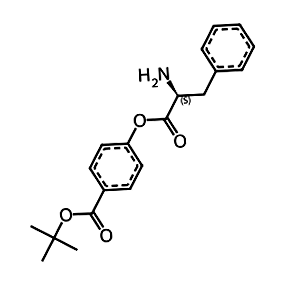 CC(C)(C)OC(=O)c1ccc(OC(=O)[C@@H](N)Cc2ccccc2)cc1